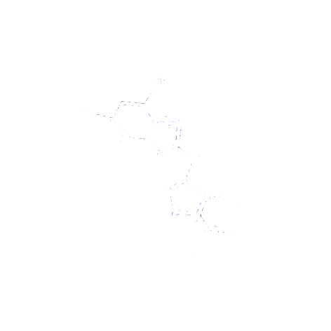 CCn1c(Oc2cc3nc(C)cc(C)n3n2)nnc1[C@@H](C)N